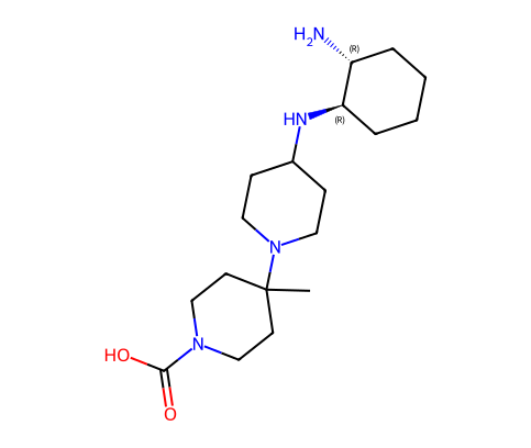 CC1(N2CCC(N[C@@H]3CCCC[C@H]3N)CC2)CCN(C(=O)O)CC1